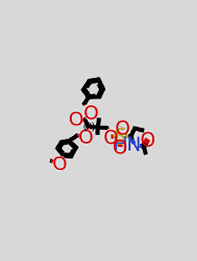 CCC(NC(C)=O)S(=O)(=O)OCC(C)(C)[C@@H](OCc1ccc(OC)cc1)C(=O)OCc1ccccc1